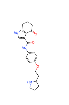 O=C(Nc1ccc(OCCC2CCCN2)cc1)c1c[nH]c2c1C(=O)CCC2